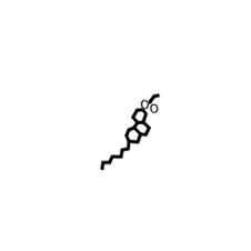 CCCCCCCC1CCC2C(CCC3CC(OC(=O)CC)CCC32)C1